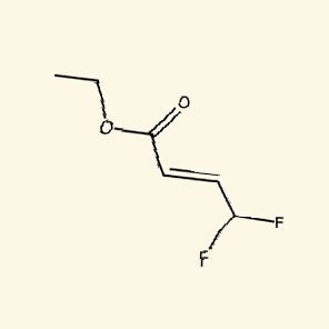 CCOC(=O)C=CC(F)F